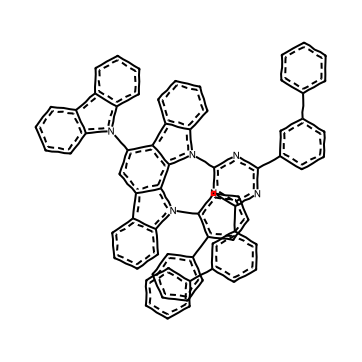 c1ccc(-c2cccc(-c3nc(-c4cccc(-c5ccccc5)c4)nc(-n4c5ccccc5c5c(-n6c7ccccc7c7ccccc76)cc6c7ccccc7n(-c7ccccc7-c7ccccc7)c6c54)n3)c2)cc1